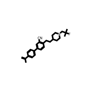 C=C(C)c1ccc(-c2ccc(CCC3CCN(CC(C)(C)F)CC3)c(C#N)c2)cc1